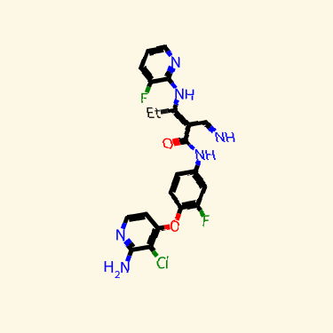 CC/C(Nc1ncccc1F)=C(/C=N)C(=O)Nc1ccc(Oc2ccnc(N)c2Cl)c(F)c1